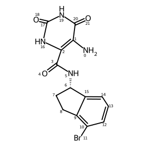 Nc1c(C(=O)N[C@H]2CCc3c(Br)cccc32)[nH]c(=O)[nH]c1=O